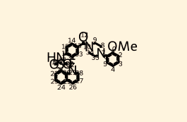 COc1ccccc1N1CCN(C(=O)c2ccc(NS(=O)(=O)c3cccc4cccnc34)c(F)c2)CC1